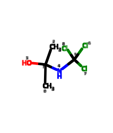 CC(C)(O)NC(Cl)(Cl)Cl